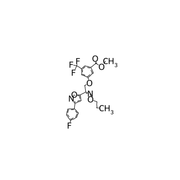 CCCON=C(COc1cc(C(=O)OC)cc(C(F)(F)F)c1)c1cc(-c2ccc(F)cc2)no1